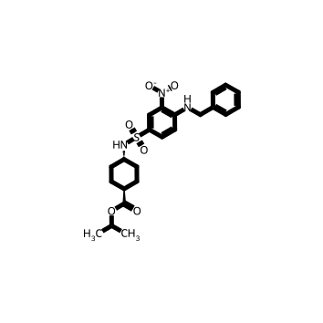 CC(C)OC(=O)[C@H]1CC[C@H](NS(=O)(=O)c2ccc(NCc3ccccc3)c([N+](=O)[O-])c2)CC1